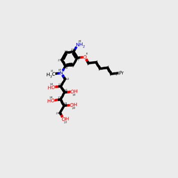 CC(C)CCCCCOc1cc(N(C)CC(O)C(O)C(O)C(O)CO)ccc1N